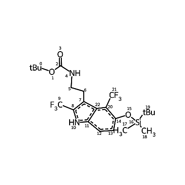 CC(C)(C)OC(=O)NCCc1c(C(F)(F)F)[nH]c2ccc(O[Si](C)(C)C(C)(C)C)c(C(F)(F)F)c12